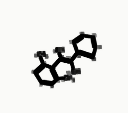 Cc1cccc(C)c1C(O)=C(O)c1ccccc1